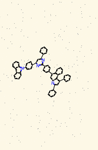 c1ccc(-c2cc(-c3ccc(-n4c5ccccc5c5ccccc54)cc3)nc(-c3ccc(-c4cc5nc(-c6ccccc6)cc(-c6ccccc6)c5c5ccccc45)cc3)n2)cc1